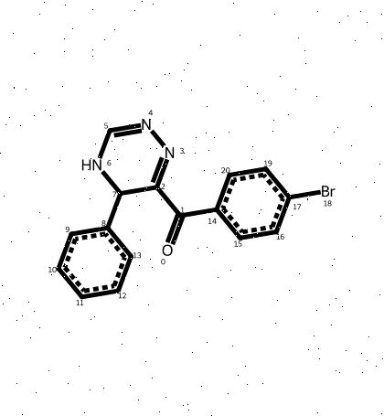 O=C(C1=NN=CNC1c1ccccc1)c1ccc(Br)cc1